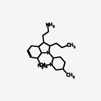 CCCC1C(CCN)C2CC=CC(C)C2N1C1CCC(C)CN1C